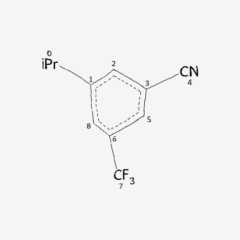 CC(C)c1cc(C#N)cc(C(F)(F)F)c1